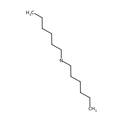 CCCCCC[N]CCCCCC